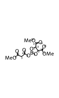 COC(=O)CC(=O)OB1OC(C(=O)OC)C(C(=O)OC)O1